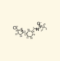 CC(C)(C)[S+]([O-])N=Cc1cccc(-c2ccc(Cl)s2)c1